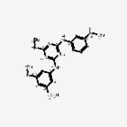 CCC(C)Nc1nc(Nc2cccc(NC(C)(C)C)c2)nc(Nc2cc(NC(C)(C)C)cc(C(=O)O)c2)n1